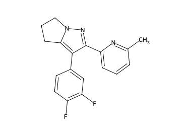 Cc1cccc(-c2nn3c(c2-c2ccc(F)c(F)c2)CCC3)n1